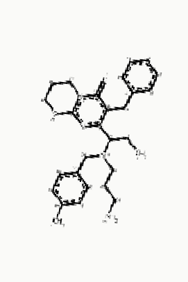 CCC(c1nc2n(c(=O)c1Cc1ccccc1)CCCS2)N(CCCN)Cc1ccc(C)cc1